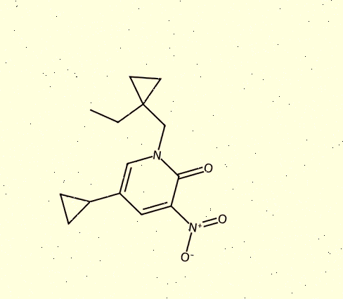 CCC1(Cn2cc(C3CC3)cc([N+](=O)[O-])c2=O)CC1